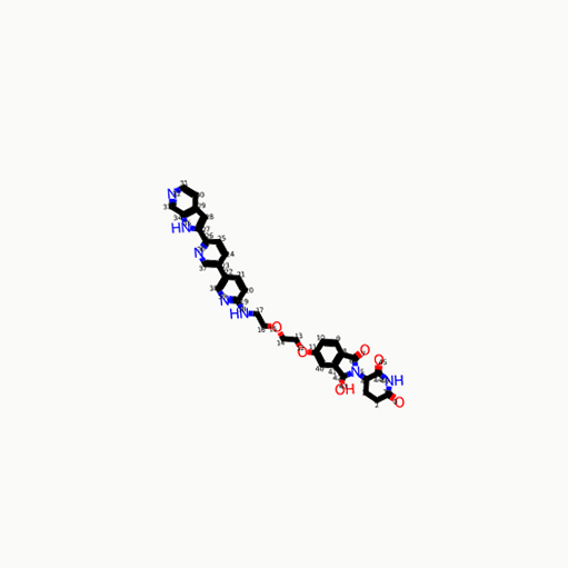 O=C1CCC(N2C(=O)c3ccc(OCCOCCNc4ccc(-c5ccc(-c6cc7ccncc7[nH]6)nc5)cn4)cc3C2O)C(=O)N1